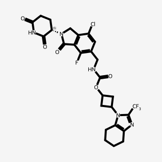 O=C1CC[C@H](N2Cc3c(Cl)cc(CNC(=O)OC4CC(n5c(C(F)(F)F)nc6c5CCCC6)C4)c(F)c3C2=O)C(=O)N1